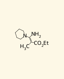 CCOC(=O)C(C)=C(N)N1CCCCC1